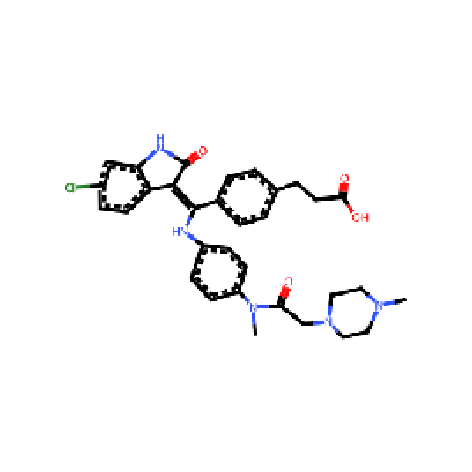 CN1CCN(CC(=O)N(C)c2ccc(NC(=C3C(=O)Nc4cc(Cl)ccc43)c3ccc(CCC(=O)O)cc3)cc2)CC1